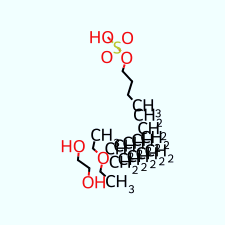 C=C.C=C.C=C.C=C.C=C.C=C.CCCCOS(=O)(=O)O.CCOCC.OCCO